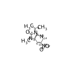 CC(C)n1c(=O)n(C)c2cc([N+](=O)[O-])cnc21